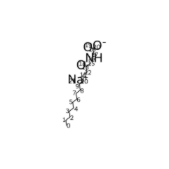 CCCCCCCCCCCCCC(=O)CNCC(=O)[O-].[Na+]